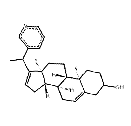 CC(C1=CC[C@H]2[C@@H]3CC=C4CC(O)CC[C@]4(C)[C@H]3CC[C@]12C)c1cccnc1